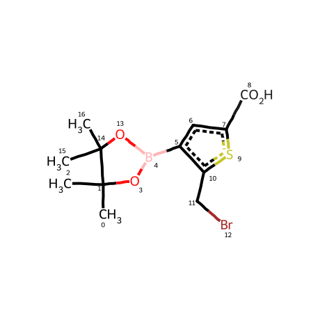 CC1(C)OB(c2cc(C(=O)O)sc2CBr)OC1(C)C